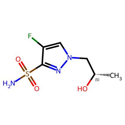 C[C@H](O)Cn1cc(F)c(S(N)(=O)=O)n1